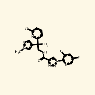 Cn1cc(C(C)(CNC(=O)c2cn(-c3ncc(F)cc3F)nn2)c2cccc(Cl)n2)cn1